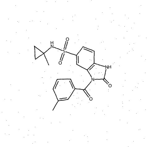 Cc1cccc(C(=O)n2c(=O)[nH]c3ccc(S(=O)(=O)NC4(C)CC4)cc32)c1